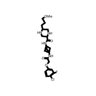 COCCCC1CNC(C(=O)NC23CC(NC(=O)COc4ccc(Cl)c(F)c4)(C2)C3)CN1